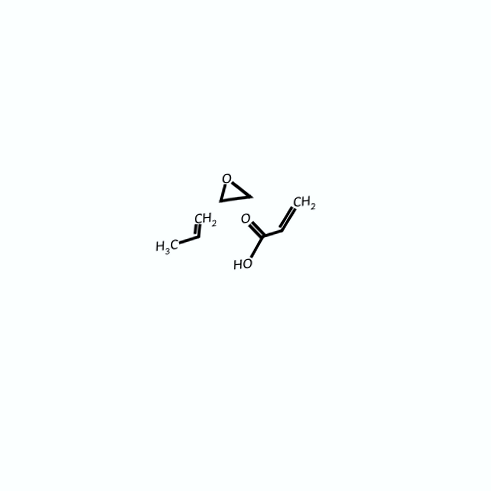 C1CO1.C=CC.C=CC(=O)O